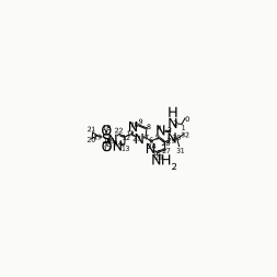 CCNc1nc2c(-c3ccnc(-c4cnn(S(=O)(=O)C5CC5)c4)n3)nc(N)cc2n1C(C)C